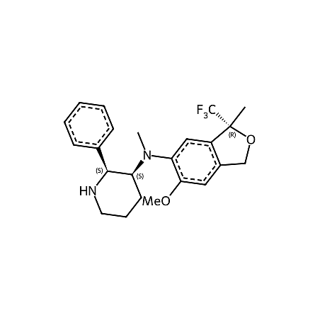 COc1cc2c(cc1N(C)[C@H]1CCCN[C@H]1c1ccccc1)[C@](C)(C(F)(F)F)OC2